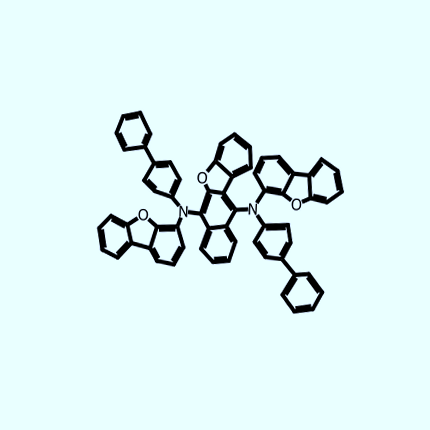 c1ccc(-c2ccc(N(c3cccc4c3oc3ccccc34)c3c4ccccc4c(N(c4ccc(-c5ccccc5)cc4)c4cccc5c4oc4ccccc45)c4c3oc3ccccc34)cc2)cc1